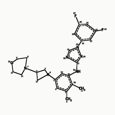 Cc1cc(N2CC(N3CCOCC3)C2)cc(Nc2ncn(-c3cc(F)cc(F)c3)n2)c1C